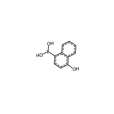 OB(O)c1ccc(O)c2ccccc12